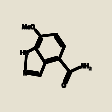 COc1ccc(C(N)=O)c2cn[nH]c12